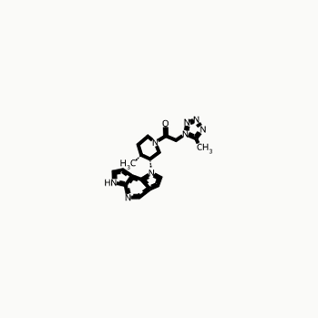 Cc1nnnn1CC(=O)N1CC[C@@H](C)[C@@H](n2ccc3cnc4[nH]ccc4c32)C1